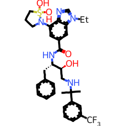 CCn1cnc2c(N3CCCS3(O)O)cc(C(=O)N[C@@H](Cc3ccccc3)[C@@H](O)CNC(C)(C)c3cccc(C(F)(F)F)c3)cc21